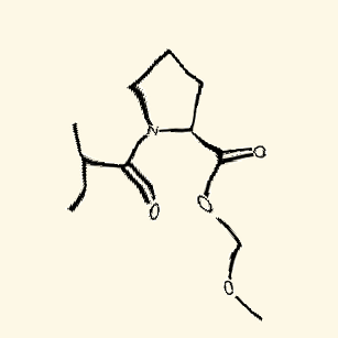 COCOC(=O)[C@@H]1CCCN1C(=O)C(C)C